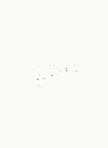 NS(=O)(=O)C1(c2ccc(-n3ccnc3)cc2)CC1